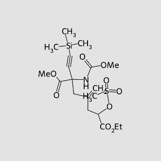 C=C(CC(OS(C)(=O)=O)C(=O)OCC)CC(C#C[Si](C)(C)C)(NC(=O)OC)C(=O)OC